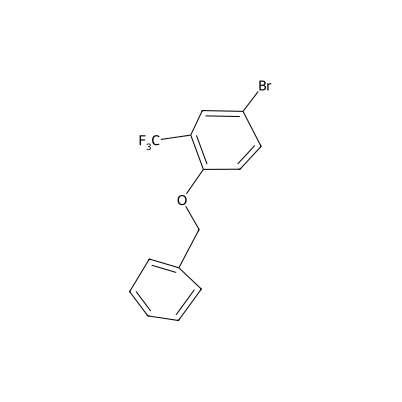 FC(F)(F)c1cc(Br)ccc1OCc1ccccc1